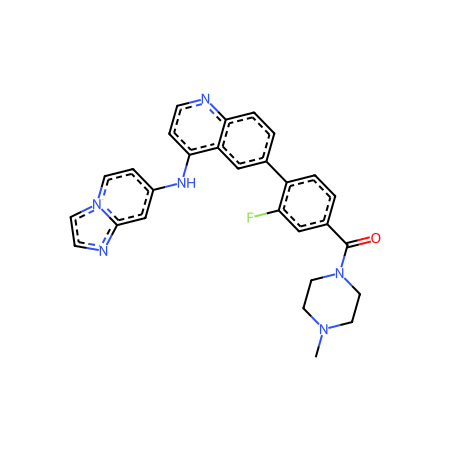 CN1CCN(C(=O)c2ccc(-c3ccc4nccc(Nc5ccn6ccnc6c5)c4c3)c(F)c2)CC1